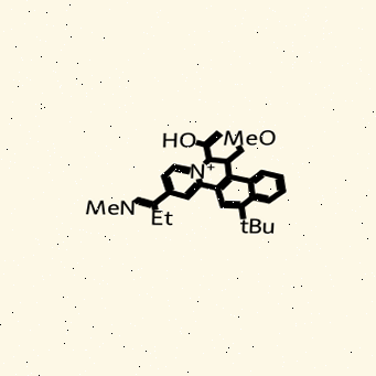 C=C(O)C1C(COC)c2c(cc(C(C)(C)C)c3ccccc23)-c2cc(/C(=C/NC)CC)cc[n+]21